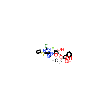 O=C(O)C(Cc1ccccc1)(OC[C@H]1O[C@@H](n2cnc3c(SC4CCCC4)nc(Cl)nc32)[C@@H](F)[C@@H]1O)C(O)O